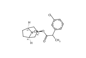 CC(C(=O)O[C@H]1C[C@H]2CC[C@@H](C1)N2C)c1cccc(Cl)c1